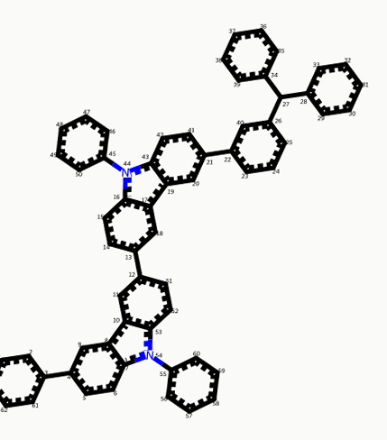 c1ccc(-c2ccc3c(c2)c2cc(-c4ccc5c(c4)c4cc(-c6cccc(C(c7ccccc7)c7ccccc7)c6)ccc4n5-c4ccccc4)ccc2n3-c2ccccc2)cc1